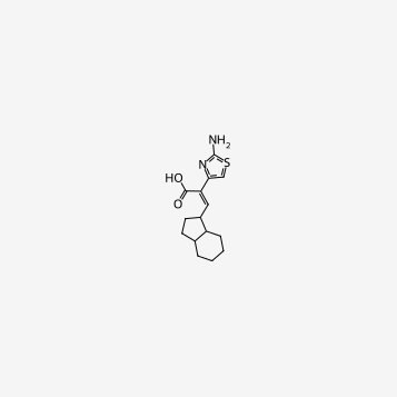 Nc1nc(C(=CC2CCC3CCCCC23)C(=O)O)cs1